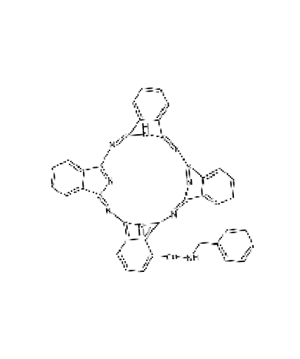 c1ccc(C[NH][Cu][c]2cccc3c4nc5nc(nc6[nH]c(nc7nc(nc([nH]4)c23)-c2ccccc2-7)c2ccccc62)-c2ccccc2-5)cc1